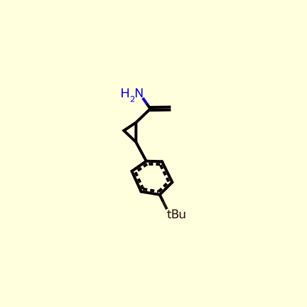 C=C(N)C1CC1c1ccc(C(C)(C)C)cc1